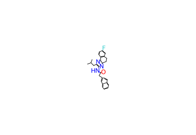 CC(C)Cc1nc2c(nc1NC(=O)Cc1ccc3ccccc3c1)CCc1cc(F)ccc1-2